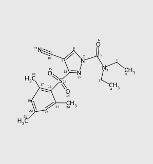 CCN(CC)C(=O)n1cc(C#N)c(S(=O)(=O)c2c(C)cc(C)cc2C)n1